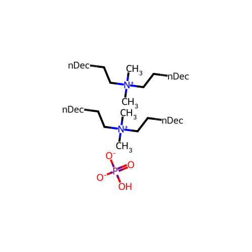 CCCCCCCCCCCC[N+](C)(C)CCCCCCCCCCCC.CCCCCCCCCCCC[N+](C)(C)CCCCCCCCCCCC.O=P([O-])([O-])O